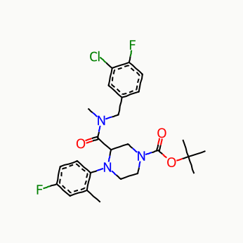 Cc1cc(F)ccc1N1CCN(C(=O)OC(C)(C)C)CC1C(=O)N(C)Cc1ccc(F)c(Cl)c1